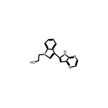 OCCn1cc(-c2cc3nccnc3[nH]2)c2ccccc21